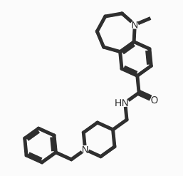 CN1CCCCc2cc(C(=O)NCC3CCN(Cc4ccccc4)CC3)ccc21